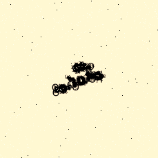 C=CCN(C(=O)OCc1ccc([N+](=O)[O-])cc1)C1CCN(CC2CN(C(=O)c3ccc4ccccc4c3)CC2(O)c2ccccc2)CC1